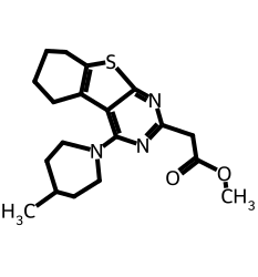 COC(=O)Cc1nc(N2CCC(C)CC2)c2c3c(sc2n1)CCCC3